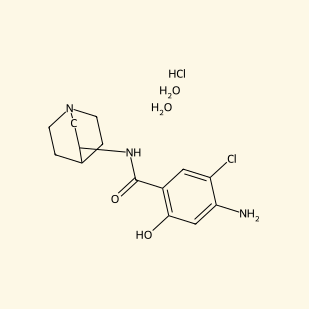 Cl.Nc1cc(O)c(C(=O)NC2CN3CCC2CC3)cc1Cl.O.O